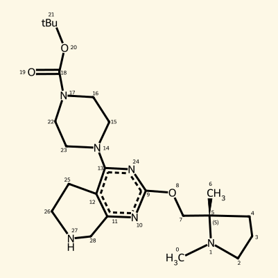 CN1CCC[C@@]1(C)COc1nc2c(c(N3CCN(C(=O)OC(C)(C)C)CC3)n1)CCNC2